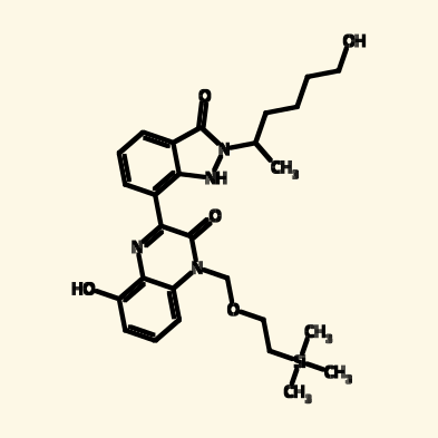 CC(CCCCO)n1[nH]c2c(-c3nc4c(O)cccc4n(COCC[Si](C)(C)C)c3=O)cccc2c1=O